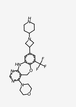 FC(F)(F)c1cc(C2CN(C3CCNCC3)C2)cc2c1OCc1c(ncnc1N1CCOCC1)N2